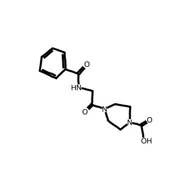 O=C(NCC(=O)N1CCN(C(=O)O)CC1)c1ccccc1